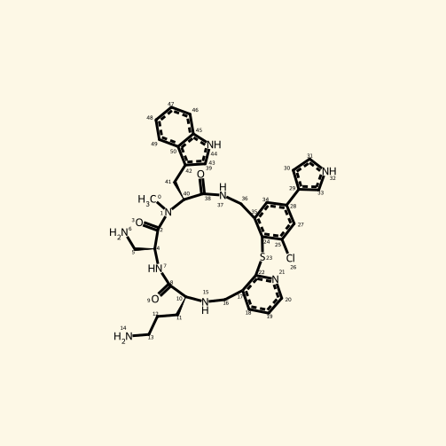 CN1C(=O)[C@H](CN)NC(=O)[C@H](CCCN)NCc2cccnc2Sc2c(Cl)cc(-c3cc[nH]c3)cc2CNC(=O)[C@@H]1Cc1c[nH]c2ccccc12